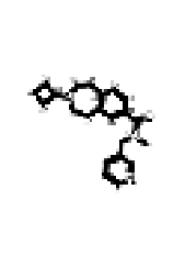 CN(Cc1cccnc1)C(=O)c1ccc2c(c1)CCN(C1CCC1)CC2